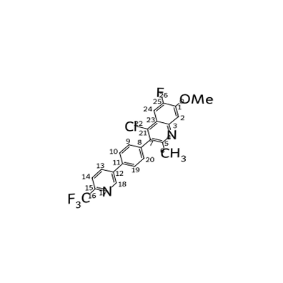 COc1cc2nc(C)c(-c3ccc(-c4ccc(C(F)(F)F)nc4)cc3)c(Cl)c2cc1F